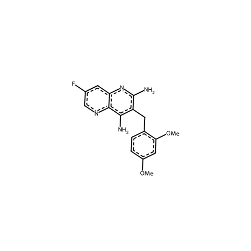 COc1ccc(Cc2c(N)nc3cc(F)cnc3c2N)c(OC)c1